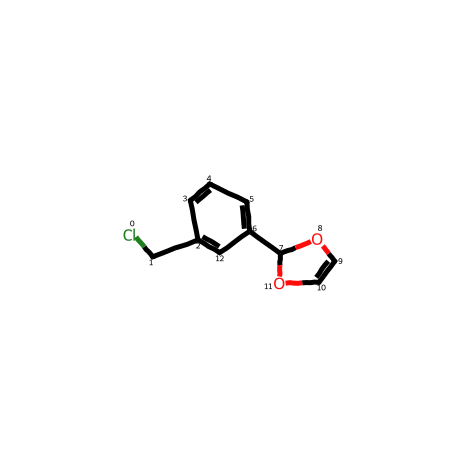 ClCc1cccc(C2OC=CO2)c1